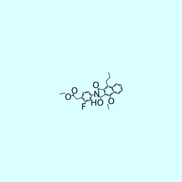 CCCc1c2c(c(OCC)c3ccccc13)C(O)N(c1ccc(CC(=O)OCC)c(F)c1)C2=O